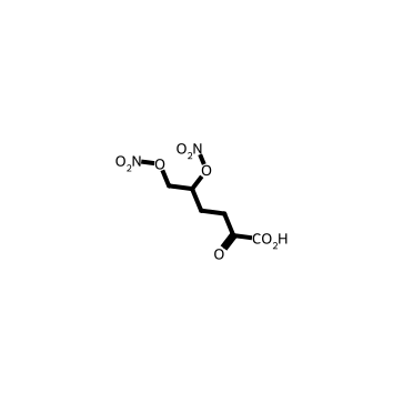 O=C(O)C(=O)CCC(CO[N+](=O)[O-])O[N+](=O)[O-]